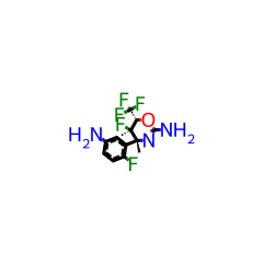 C[C@]1(F)[C@H](C(F)(F)F)OC(N)=N[C@]1(C)c1cc(N)ccc1F